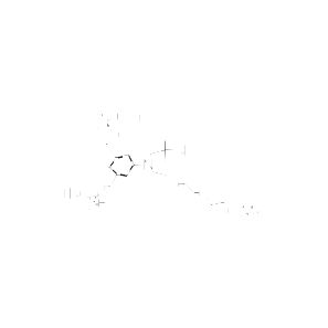 COCCOCCOCCN(CC(C)(C)S)c1cc(CO[Si](C)(C)C(C)(C)C)cc(CO[Si](C)(C)C(C)(C)C)c1